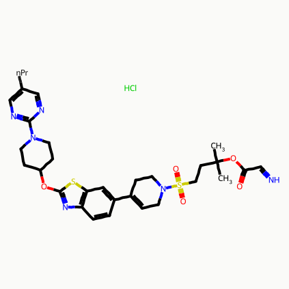 CCCc1cnc(N2CCC(Oc3nc4ccc(C5=CCN(S(=O)(=O)CCC(C)(C)OC(=O)C=N)CC5)cc4s3)CC2)nc1.Cl